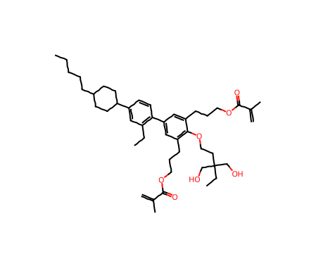 C=C(C)C(=O)OCCCc1cc(-c2ccc(C3CCC(CCCCC)CC3)cc2CC)cc(CCCOC(=O)C(=C)C)c1OCCC(CC)(CO)CO